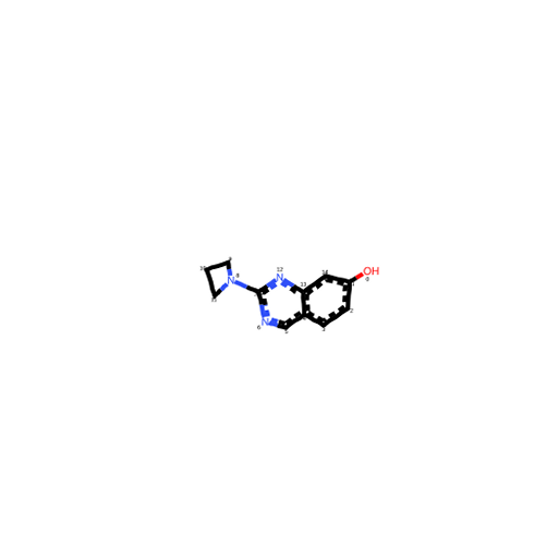 Oc1ccc2cnc(N3CCC3)nc2c1